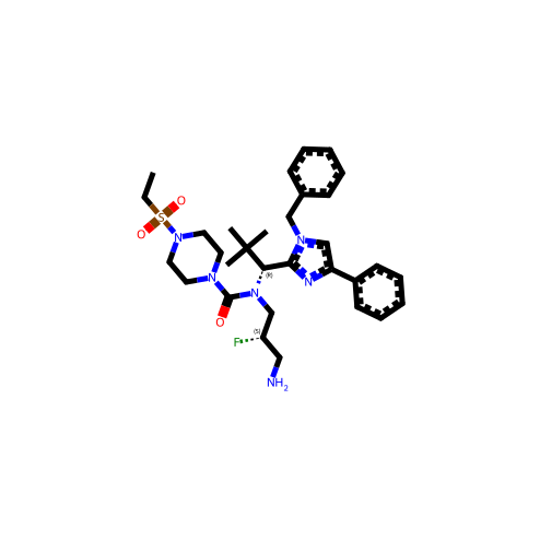 CCS(=O)(=O)N1CCN(C(=O)N(C[C@@H](F)CN)[C@@H](c2nc(-c3ccccc3)cn2Cc2ccccc2)C(C)(C)C)CC1